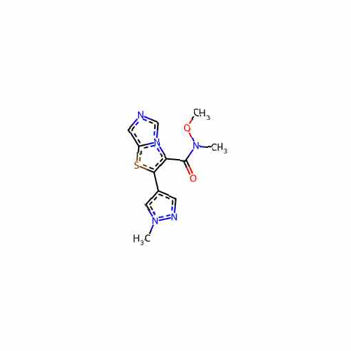 CON(C)C(=O)c1c(-c2cnn(C)c2)sc2cncn12